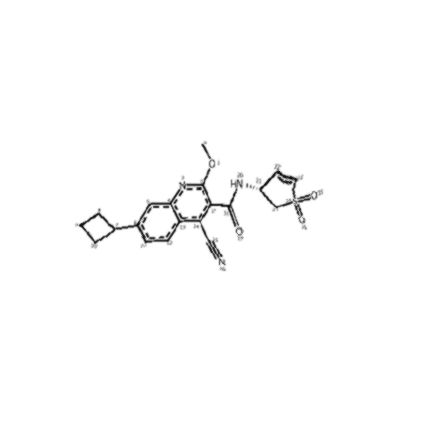 COc1nc2cc(C3CCC3)ccc2c(C#N)c1C(=O)N[C@@H]1C=CS(=O)(=O)C1